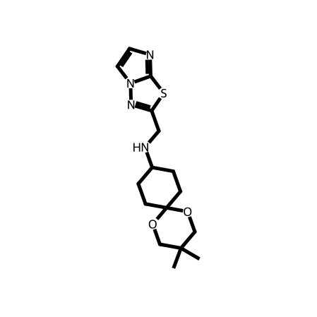 CC1(C)COC2(CCC(NCc3nn4ccnc4s3)CC2)OC1